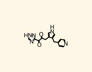 O=C(Cc1c[nH]cc1Cc1ccncc1)C(=O)c1nc[nH]n1